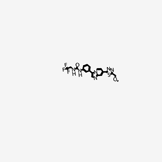 COCc1nnc(-c2ccn3c(-c4cccc(NC(=O)NCC(F)(F)F)c4)cnc3c2)s1